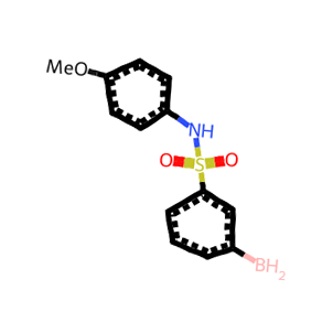 Bc1cccc(S(=O)(=O)Nc2ccc(OC)cc2)c1